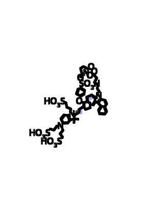 C=c1/c(=C\C=C2/CCCC(/C=C/C3=[N+](CCCS(=O)(=O)O)c4ccc(N(CCCS(=O)(=O)O)CCCS(=O)(=O)O)cc4C3(C)C)=C2Oc2ccc(S(=O)(=O)O)cc2)n(CCCCCC(=O)ON2C(=O)CCC2=O)c2ccc3ccccc3c12